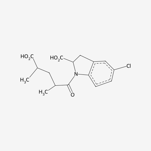 CC(CC(C)C(=O)N1c2ccc(Cl)cc2CC1C(=O)O)C(=O)O